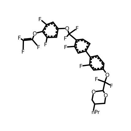 CCCC1COC(C(F)(F)Oc2ccc(-c3ccc(C(F)(F)Oc4cc(F)c(OC(F)=C(F)F)c(F)c4)c(F)c3)c(F)c2)OC1